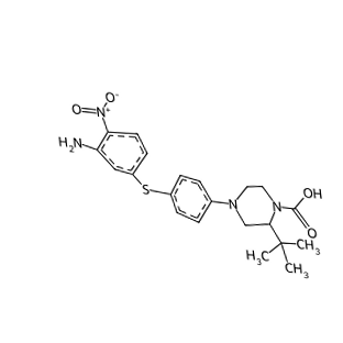 CC(C)(C)C1CN(c2ccc(Sc3ccc([N+](=O)[O-])c(N)c3)cc2)CCN1C(=O)O